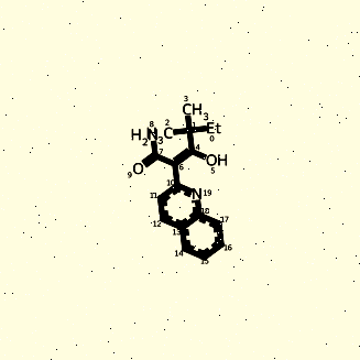 CCC(C)(C)C(O)=C(C(N)=O)c1ccc2ccccc2n1